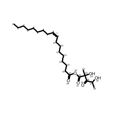 CCCCCCCC/C=C\CCCCCCCC(=O)OC(=O)C(C)(O)C(=O)C(C)O